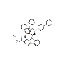 C=C/C=C\c1c(C)n(-c2ccc(-c3ccccc3)cc2)c2c1ccc1c3ccccc3n(-c3nc(-c4ccccc4)nc(-c4ccc(-c5ccccc5)cc4)n3)c12